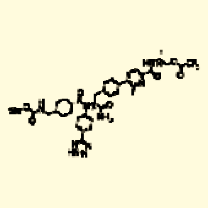 Cc1nc(C(=O)N[C@H](C)COC(=O)C(F)(F)F)ccc1-c1ccc(C[C@@H](C(N)=O)N(c2ccc(-c3nn[nH]n3)cc2)C(=O)[C@H]2CC[C@H](CNC(=O)OC(C)(C)C)CC2)cc1